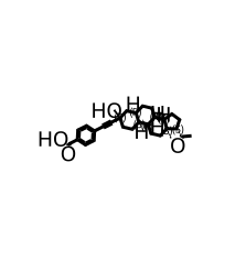 CC(=O)[C@H]1CC[C@H]2[C@@H]3CC[C@@H]4C[C@@](O)(C#Cc5ccc(C(=O)O)cc5)CC[C@@H]4[C@H]3CC[C@]12C